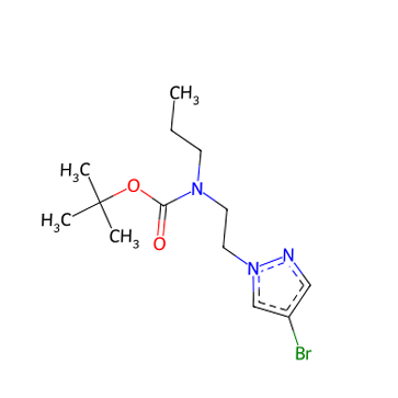 CCCN(CCn1cc(Br)cn1)C(=O)OC(C)(C)C